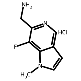 Cl.Cn1ccc2cnc(CN)c(F)c21